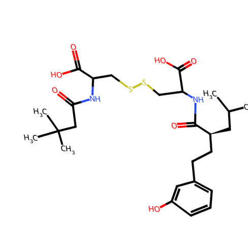 CC(C)C[C@@H](CCc1cccc(O)c1)C(=O)NC(CSSCC(NC(=O)CC(C)(C)C)C(=O)O)C(=O)O